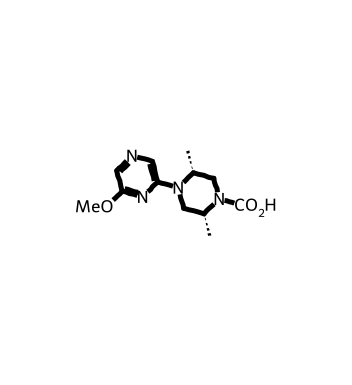 COc1cncc(N2C[C@@H](C)N(C(=O)O)C[C@H]2C)n1